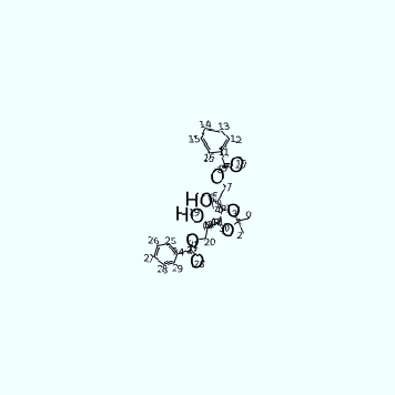 CC1(C)O[C@H]([C@@H](O)COC(=O)c2ccccc2)[C@@H]([C@@H](O)COC(=O)c2ccccc2)O1